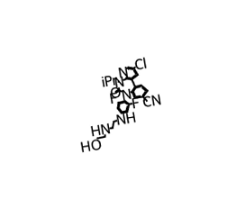 CC(C)N1C(=O)N(c2c(F)cc(NCCNCCO)cc2F)c2cc(C#N)ccc2-c2cc(Cl)cnc21